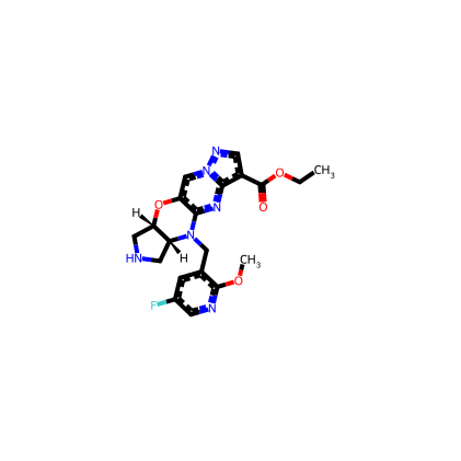 CCOC(=O)c1cnn2cc3c(nc12)N(Cc1cc(F)cnc1OC)[C@@H]1CNC[C@@H]1O3